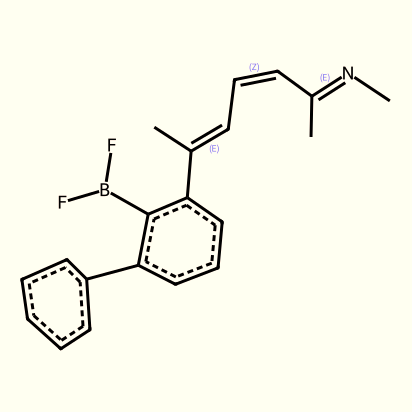 C/N=C(C)/C=C\C=C(/C)c1cccc(-c2ccccc2)c1B(F)F